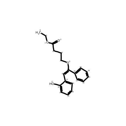 CCOC(=O)CCCO/C(=C/c1ccccc1O)c1ccccc1